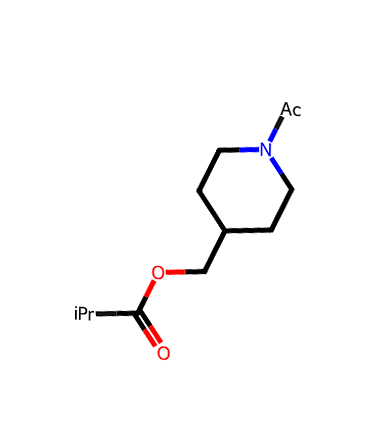 CC(=O)N1CCC(COC(=O)C(C)C)CC1